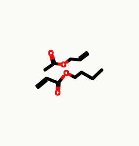 C=CC(=O)OCCCC.C=CCOC(C)=O